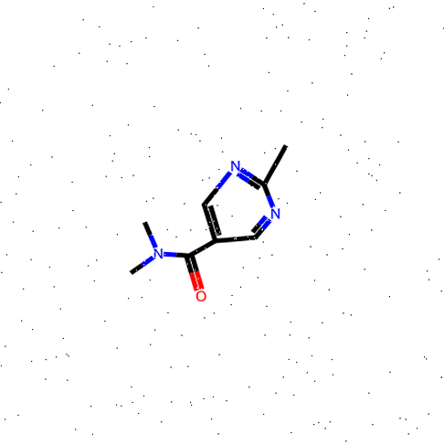 Cc1ncc(C(=O)N(C)C)cn1